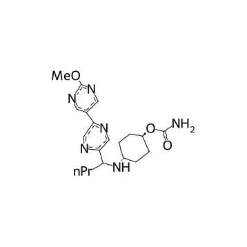 CCCC(N[C@H]1CC[C@H](OC(N)=O)CC1)c1cnc(-c2cnc(OC)nc2)cn1